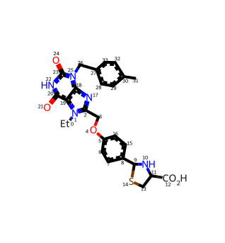 CCn1c(COc2ccc(C3NC(C(=O)O)CS3)cc2)nc2c1c(=O)[nH]c(=O)n2Cc1ccc(C)cc1